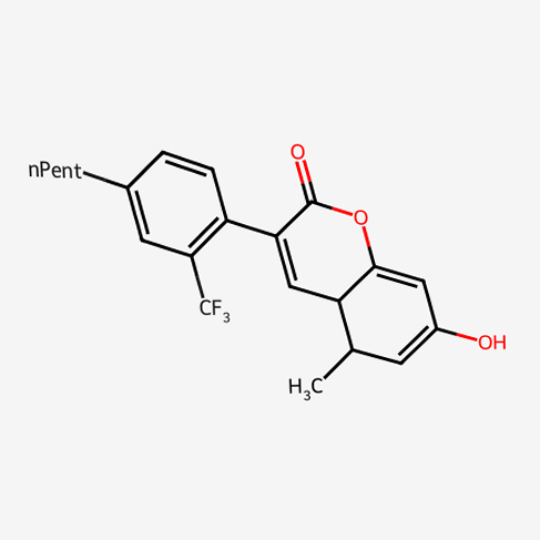 CCCCCc1ccc(C2=CC3C(=CC(O)=CC3C)OC2=O)c(C(F)(F)F)c1